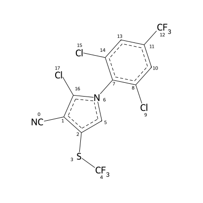 N#Cc1c(SC(F)(F)F)cn(-c2c(Cl)cc(C(F)(F)F)cc2Cl)c1Cl